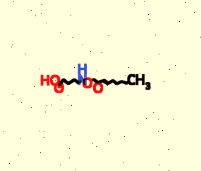 CCCCCC=CC(=O)CONCCCCC(=O)O